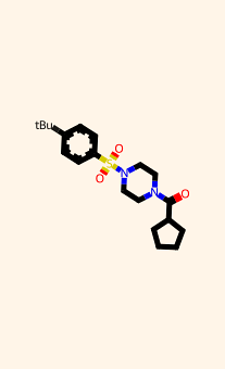 CC(C)(C)c1ccc(S(=O)(=O)N2CCN(C(=O)C3CCCC3)CC2)cc1